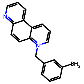 Bc1cccc(C[n+]2cccc3c4cccnc4ccc32)c1